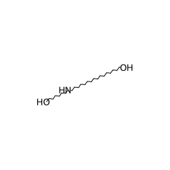 OCCCCCCCCCCCCCCCCNCCCCCCO